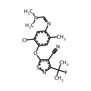 Cc1cc(Oc2snc(C(C)(C)F)c2C#N)c(Cl)cc1/N=C\N(C)C